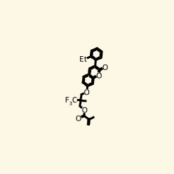 C=C(C)C(=O)OCC(C)(COc1ccc2cc(-c3ccccc3CC)c(=O)oc2c1)C(F)(F)F